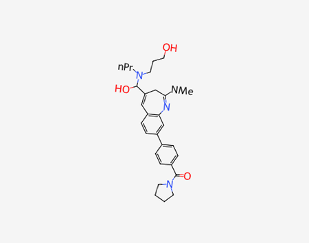 CCCN(CCCO)C(O)C1=Cc2ccc(-c3ccc(C(=O)N4CCCC4)cc3)cc2N=C(NC)C1